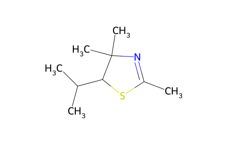 CC1=NC(C)(C)C(C(C)C)S1